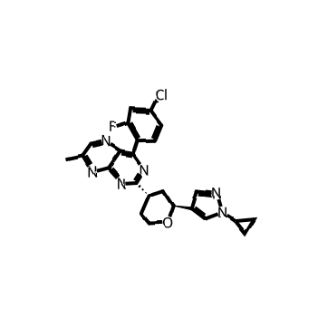 Cc1cnc2c(-c3ccc(Cl)cc3F)nc([C@H]3CCO[C@H](c4cnn(C5CC5)c4)C3)nc2n1